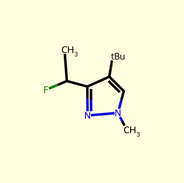 CC(F)c1nn(C)cc1C(C)(C)C